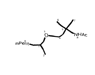 CCCCCC(C)OCC(C)(C)NC(C)=O